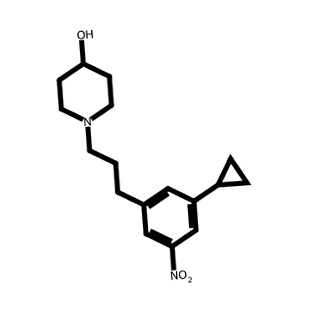 O=[N+]([O-])c1cc(CCCN2CCC(O)CC2)cc(C2CC2)c1